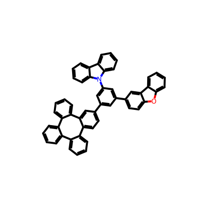 c1ccc2c(c1)-c1ccccc1-c1ccc(-c3cc(-c4ccc5oc6ccccc6c5c4)cc(-n4c5ccccc5c5ccccc54)c3)cc1-c1ccccc1-2